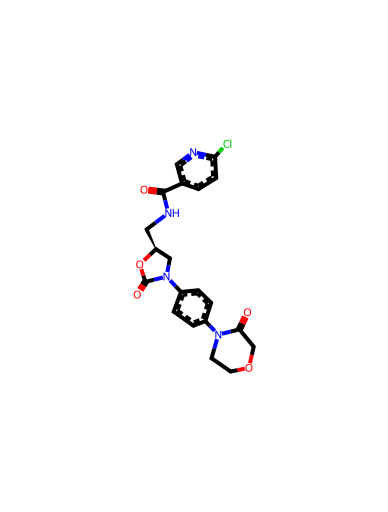 O=C(NC[C@H]1CN(c2ccc(N3CCOCC3=O)cc2)C(=O)O1)c1ccc(Cl)nc1